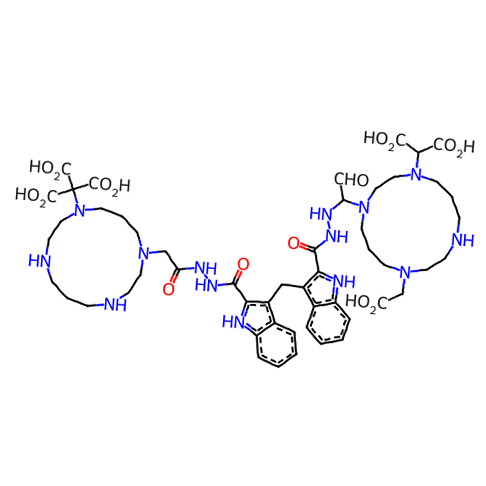 O=CC(NNC(=O)c1[nH]c2ccccc2c1Cc1c(C(=O)NNC(=O)CN2CCCN(C(C(=O)O)(C(=O)O)C(=O)O)CCNCCCNCC2)[nH]c2ccccc12)N1CCCN(CC(=O)O)CCNCCCN(C(C(=O)O)C(=O)O)CC1